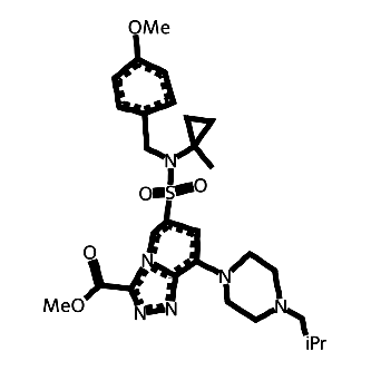 COC(=O)c1nnc2c(N3CCN(CC(C)C)CC3)cc(S(=O)(=O)N(Cc3ccc(OC)cc3)C3(C)CC3)cn12